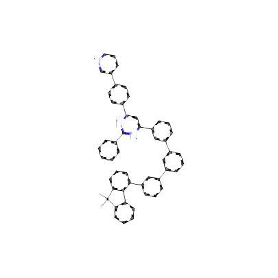 CC1(C)c2ccccc2-c2c(-c3cccc(-c4cccc(-c5cccc(-c6cc(-c7ccc(-c8cccnc8)cc7)nc(-c7ccccc7)n6)c5)c4)c3)cccc21